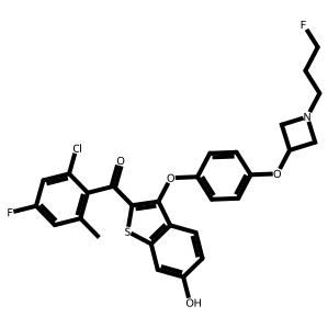 Cc1cc(F)cc(Cl)c1C(=O)c1sc2cc(O)ccc2c1Oc1ccc(OC2CN(CCCF)C2)cc1